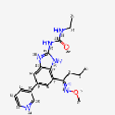 CCC/C(=N\OC)c1cc(-c2cccnc2)cc2nc(NC(=O)NCC)[nH]c12